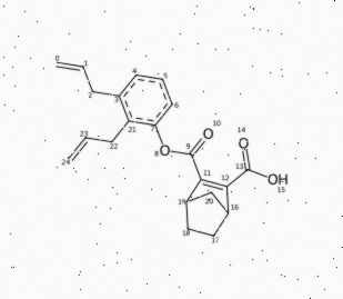 C=CCc1cccc(OC(=O)C2=C(C(=O)O)C3CCC2C3)c1CC=C